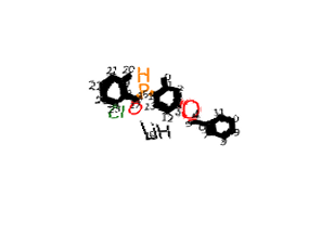 Cc1cc(OCc2ccccc2)ccc1PC(=O)c1c(C)cccc1Cl.[LiH]